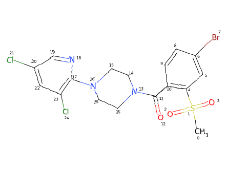 CS(=O)(=O)c1cc(Br)ccc1C(=O)N1CCN(c2ncc(Cl)cc2Cl)CC1